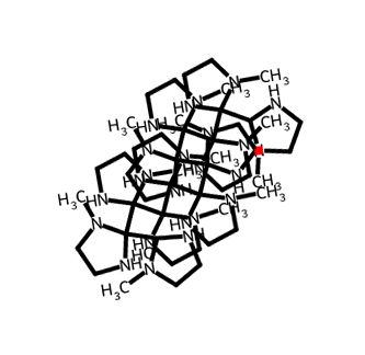 CN1CCNC1C1(C2(C3(C4(C5(C6(C7(C8(C9(C%10(C%11(O)NCCN%11C)NCCN%10C)NCCN9C)NCCN8C)NCCN7C)NCCN6C)NCCN5C)NCCN4C)NCCN3C)NCCN2C)NCCN1C